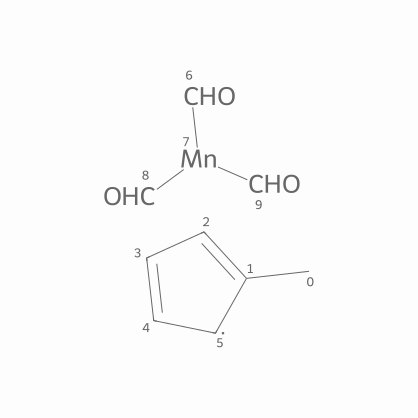 CC1=CC=C[CH]1.O=[CH][Mn]([CH]=O)[CH]=O